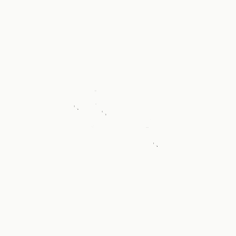 CN1CC(=O)N(C[C@@H](O)C(N)=O)C1=O